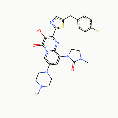 CC(C)N1CCN(c2cc(N3CCN(C)C3=O)c3nc(-c4ncc(Cc5ccc(F)cc5)s4)c(O)c(=O)n3c2)CC1